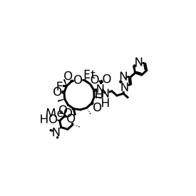 CC[C@H]1OC(=O)[C@@](C)(F)C(=O)[C@H](C)[C@@H](OC2O[C@H](C)C[C@H](N(C)C)[C@H]2O)[C@@](C)(OC)C[C@@H](C)C(=O)[C@H](C)[C@@H]2C1OC(=O)N2NCCC(C)n1cnc(-c2cccnc2)c1